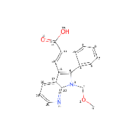 COCn1c(-c2ccccc2)c(C=CC(=O)O)c2cccnc21